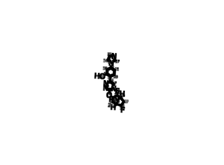 [2H][C@]12C[C@@H](Oc3ncc(-c4ccc(-n5ccnc5)cc4O)nn3)[C@H](F)[C@]([2H])(C[C@H]1F)N2